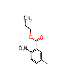 C=CCOC(=O)c1cc(F)ccc1[N+](=O)[O-]